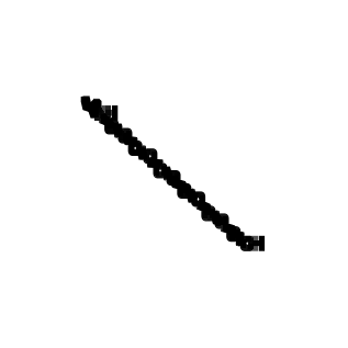 CC/C(C)=C/NCCOCCOCCOCCOCCOCCOCCOCCOCCOCCOCCOCCO